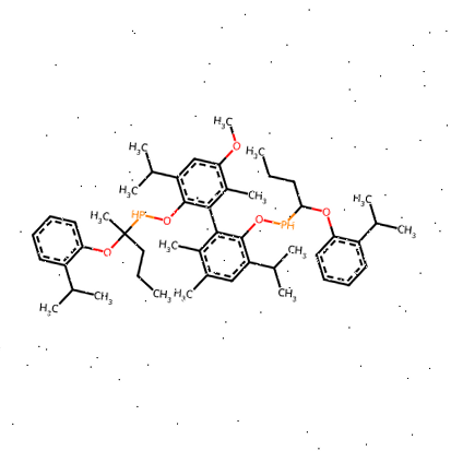 CCCC(Oc1ccccc1C(C)C)POc1c(C(C)C)cc(C)c(C)c1-c1c(C)c(OC)cc(C(C)C)c1OPC(C)(CCC)Oc1ccccc1C(C)C